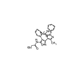 Cc1nn(-c2ccccc2)c(C)c1-c1noc(NC(=O)CC(C)(C)C)c1-c1ccccc1C(N)=O